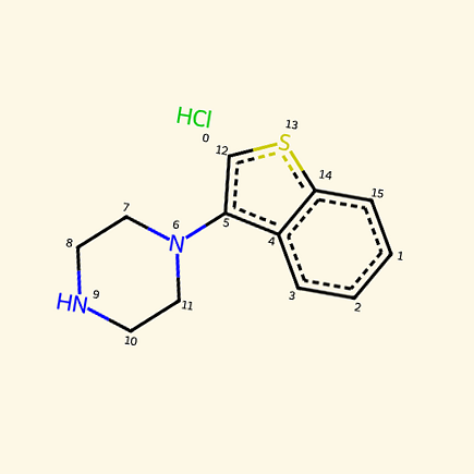 Cl.c1ccc2c(N3CCNCC3)csc2c1